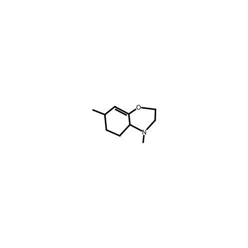 CC1C=C2OCCN(C)C2CC1